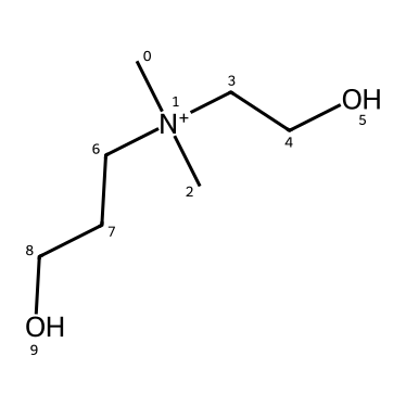 C[N+](C)(CCO)CCCO